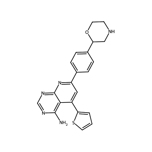 Nc1ncnc2nc(-c3ccc(C4CNCCO4)cc3)cc(-c3cccs3)c12